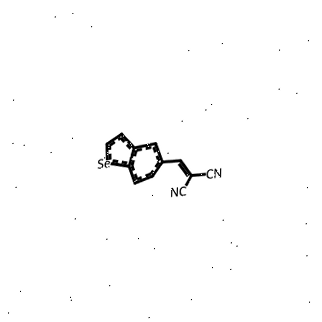 N#CC(C#N)=Cc1ccc2[se]ccc2c1